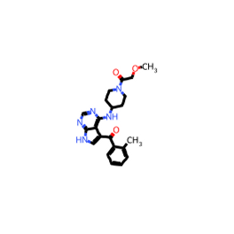 COCC(=O)N1CCC(Nc2ncnc3[nH]cc(C(=O)c4ccccc4C)c23)CC1